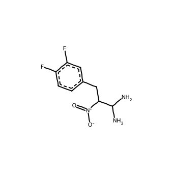 NC(N)C(Cc1ccc(F)c(F)c1)[N+](=O)[O-]